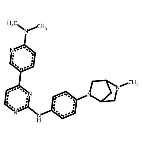 CN(C)c1ccc(-c2ccnc(Nc3ccc(N4CC5CC4CN5C)cc3)n2)cn1